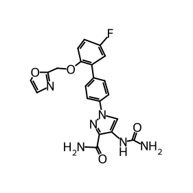 NC(=O)Nc1cn(-c2ccc(-c3cc(F)ccc3OCc3ncco3)cc2)nc1C(N)=O